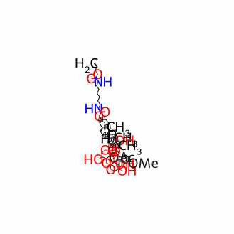 C=CCOC(=O)NCCCCCCNC(=O)O[C@H]1CC[C@@]2(C)C(=CC[C@@H]3C2CC[C@@]2(C)[C@H]3C[C@H](OC3OCC(O)C(OC4OCC(O)C(O)C4OC(=O)c4ccc(OC)cc4)C3OC(C)=O)[C@]2(O)[C@H](C)C(=O)CCC(C)C)C1